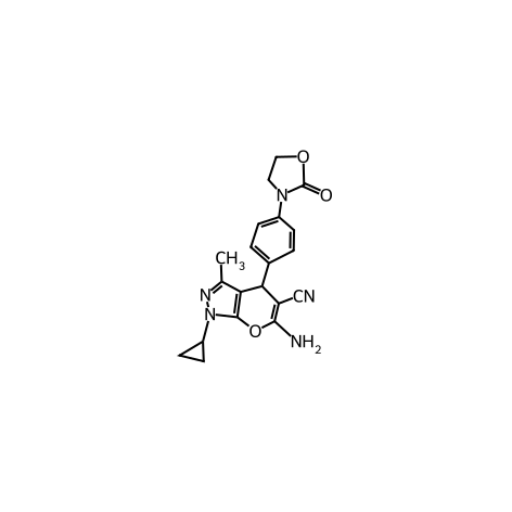 Cc1nn(C2CC2)c2c1C(c1ccc(N3CCOC3=O)cc1)C(C#N)=C(N)O2